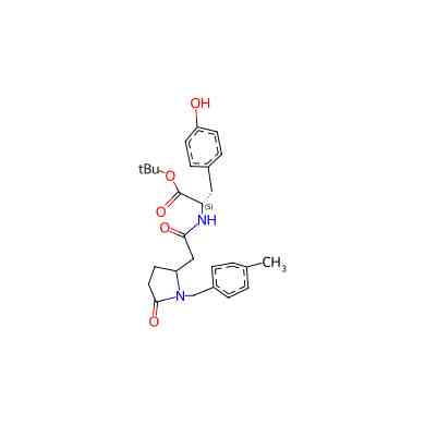 Cc1ccc(CN2C(=O)CCC2CC(=O)N[C@@H](Cc2ccc(O)cc2)C(=O)OC(C)(C)C)cc1